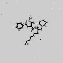 CCCCCCCC(CN1CCCCC1)NC(=O)C(CCc1ccccc1)C(=O)NO